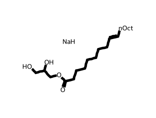 CCCCCCCCC=CCCCCCCCC(=O)OCC(O)CO.[NaH]